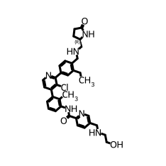 CCc1cc(-c2nccc(-c3cccc(NC(=O)c4ccc(CNCCO)cn4)c3C)c2Cl)ccc1CNC[C@H]1CCC(=O)N1